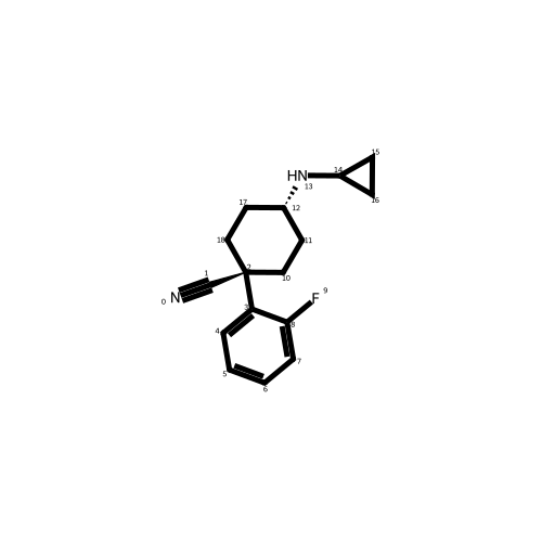 N#C[C@]1(c2ccccc2F)CC[C@@H](NC2CC2)CC1